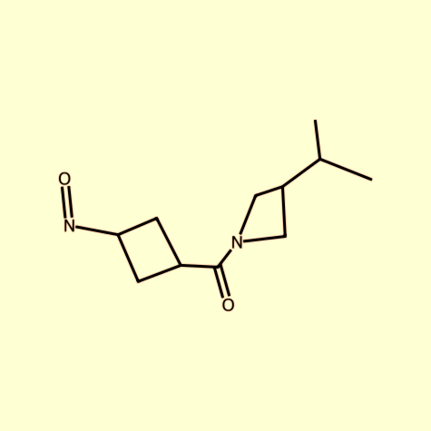 CC(C)C1CN(C(=O)C2CC(N=O)C2)C1